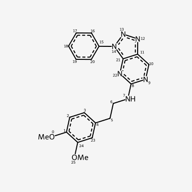 COc1ccc(CCNc2ncc3nnn(-c4ccccc4)c3n2)cc1OC